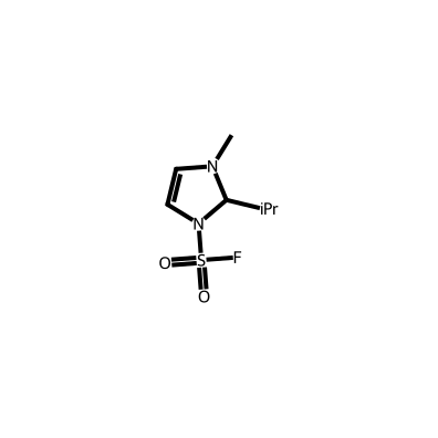 CC(C)C1N(C)C=CN1S(=O)(=O)F